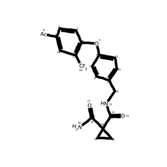 CC(=O)c1ccc(Oc2ccc(CNC(=O)C3(C(N)=O)CC3)cc2)c(C(F)(F)F)c1